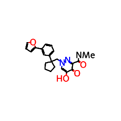 CNC(=O)c1nn(CC2(c3cccc(-c4ccco4)c3)CCCC2)cc(O)c1=O